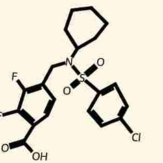 O=C(O)c1ccc(CN(C2CCCCC2)S(=O)(=O)c2ccc(Cl)cc2)c(F)c1F